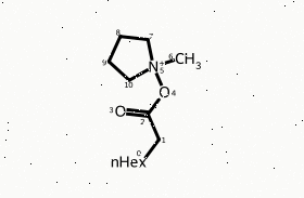 CCCCCCCC(=O)O[N+]1(C)CCCC1